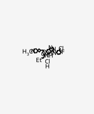 CC/C=C/C(=O)Nc1cc2c(Nc3ccc(F)c(Cl)c3)ncnc2cc1OCC1CC2(CCN(C)CC2)C1.Cl